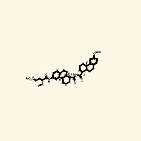 CCC(C)Oc1ccc2c(c1)[C@@]1(C)CCC[C@](C)(C(=O)NC(=O)[C@@]3(C)CCC[C@]4(C)c5cc(NC(=O)[C@@H](CI)CCC(=O)O)ccc5CC[C@@H]34)C1CC2